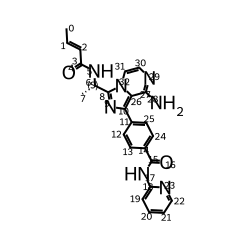 CC=CC(=O)N[C@@H](C)c1nc(-c2ccc(C(=O)Nc3ccccn3)cc2)c2c(N)nccn12